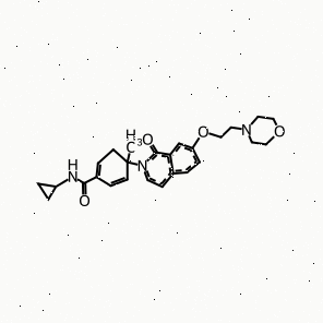 CC1(n2ccc3ccc(OCCN4CCOCC4)cc3c2=O)C=CC(C(=O)NC2CC2)=CC1